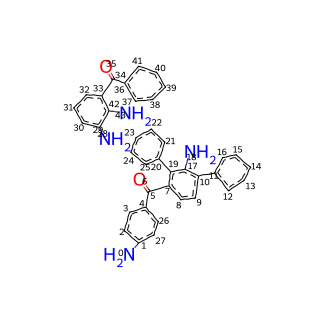 Nc1ccc(C(=O)c2ccc(-c3ccccc3)c(N)c2-c2ccccc2)cc1.Nc1cccc(C(=O)c2ccccc2)c1N